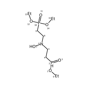 CCO[PH](=O)CCN(O)CCP(=O)(OCC)OCC